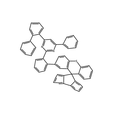 c1ccc(-c2cc(-c3ccccc3-c3ccccc3)nc(-c3ccccc3-c3ccc4c(c3)C3(c5ccccc5S4)c4ccccc4-c4ccccc43)n2)cc1